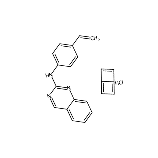 C=Cc1ccc(Nc2ncc3ccccc3n2)cc1.Cl.c1cc2ccc1-2